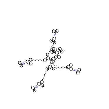 [CH2]CC(CC(COC(=O)c1cc([N+](=O)[O-])cc([N+](=O)[O-])c1)OCc1cc(OCCCCCCCCOc2ccc(/C=C/C(=O)OC)cc2OC)cc(OCCCCCCCCOc2ccc(/C=C/C(=O)OC)cc2OC)c1)OCc1cc(OCCCCCCCCOc2ccc(/C=C/C(=O)OC)cc2OC)cc(OCCCCCCCCOc2ccc(/C=C/C(=O)OC)cc2OC)c1